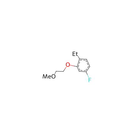 CCc1ccc(F)cc1OCCOC